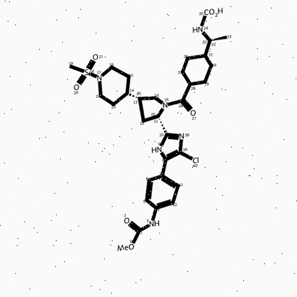 COC(=O)Nc1ccc(-c2[nH]c([C@@H]3C[C@H](C4CCN(S(C)(=O)=O)CC4)CN3C(=O)C3CCC([C@H](C)NC(=O)O)CC3)nc2Cl)cc1